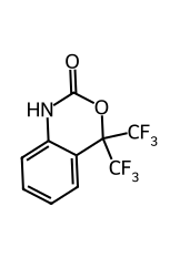 O=C1Nc2ccccc2C(C(F)(F)F)(C(F)(F)F)O1